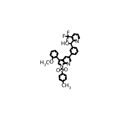 COc1ccccc1-c1cn(S(=O)(=O)c2ccc(C)cc2)c2ncc(-c3cccc(C(O)c4ncccc4C(F)(F)F)c3)cc12